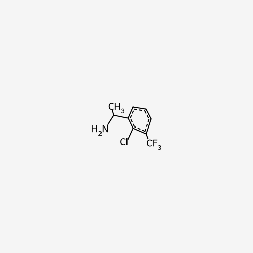 CC(N)c1cccc(C(F)(F)F)c1Cl